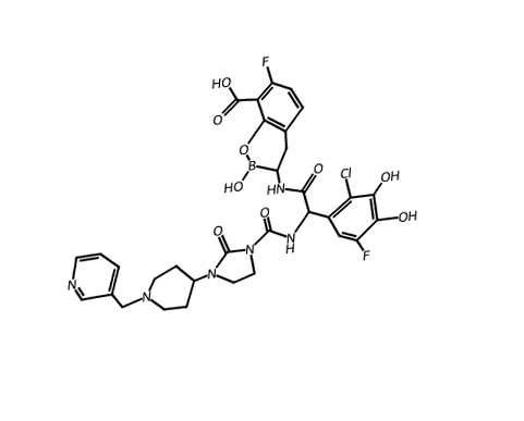 O=C(O)c1c(F)ccc2c1OB(O)C(NC(=O)C(NC(=O)N1CCN(C3CCN(Cc4cccnc4)CC3)C1=O)c1cc(F)c(O)c(O)c1Cl)C2